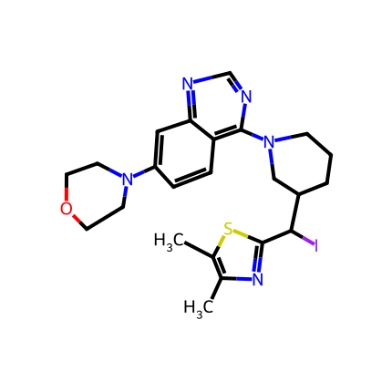 Cc1nc(C(I)C2CCCN(c3ncnc4cc(N5CCOCC5)ccc34)C2)sc1C